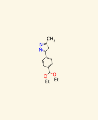 CCOC(OCC)c1ccc(C2=NN=C(C)C2)cc1